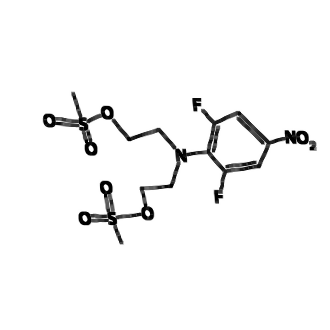 CS(=O)(=O)OCCN(CCOS(C)(=O)=O)c1c(F)cc([N+](=O)[O-])cc1F